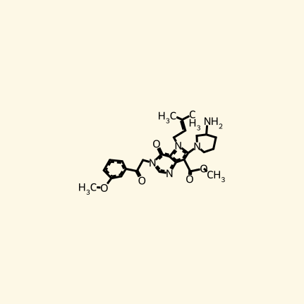 COC(=O)c1c(N2CCCC(N)C2)n(CC=C(C)C)c2c(=O)n(CC(=O)c3cccc(OC)c3)cnc12